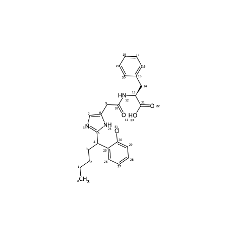 CCCCC(c1ncc(CC(=O)N[C@@H](Cc2ccccc2)C(=O)O)[nH]1)c1ccccc1Cl